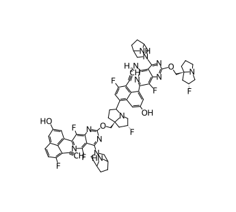 C#Cc1c(F)ccc2cc(O)cc(-c3nc(F)c4c(N5CC6CCC(C5)N6)nc(OC[C@@]56CCC(c7cc(F)c(C#C)c8c(-c9nc(N)c%10c(N%11CC%12CCC(C%11)N%12)nc(OC[C@@]%11%12CCCN%11C[C@H](F)C%12)nc%10c9F)cc(O)cc78)N5C[C@H](F)C6)nc4c3F)c12